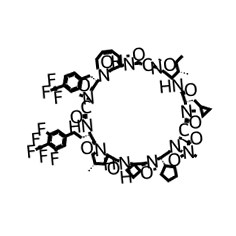 CC[C@H](C)[C@@H]1NC(=O)[C@H](CC2CC2)N(C)C(=O)C[C@@H](C(=O)N(C)C)N(C)C(=O)[C@H](C2CCCC2)N(C)C(=O)C2(CCC2)NC(=O)[C@@H]2C[C@H](C)CN2C(=O)[C@H](CCc2cc(F)c(C(F)(F)F)c(F)c2)NC(=O)CN(C)C(=O)[C@H](Cc2ccc(C(F)(F)F)cc2)N2CC/C=C\C[C@@H](C2=O)N(C)C(=O)CN(C)C1=O